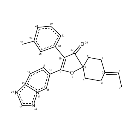 CC=C1CCC2(CC1)OC(c1ccc3ncnn3c1)=C(c1cccc(C)c1)C2=O